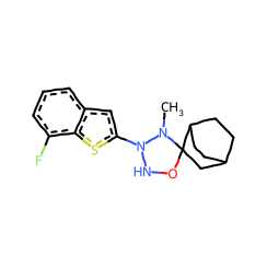 CN1N(c2cc3cccc(F)c3s2)NOC12CC1CCC2CC1